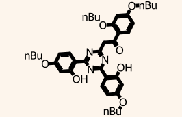 CCCCOc1ccc(-c2nc(CC(=O)c3ccc(OCCCC)cc3OCCCC)nc(-c3ccc(OCCCC)cc3O)n2)c(O)c1